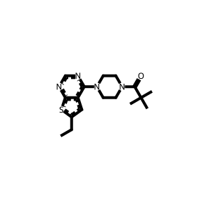 CCc1cc2c(N3CCN(C(=O)C(C)(C)C)CC3)ncnc2s1